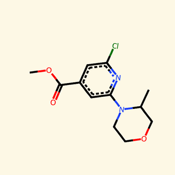 COC(=O)c1cc(Cl)nc(N2CCOCC2C)c1